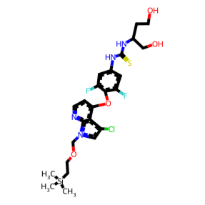 C[Si](C)(C)CCOCn1cc(Cl)c2c(Oc3c(F)cc(NC(=S)NC(CO)CCO)cc3F)ccnc21